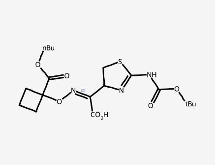 CCCCOC(=O)C1(O/N=C(\C(=O)O)C2CSC(NC(=O)OC(C)(C)C)=N2)CCC1